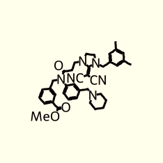 COC(=O)c1cccc(CN(C(=O)CCN2CCN(Cc3cc(C)cc(C)c3)C2=C(C#N)C#N)c2cccc(CN3CCCCC3)c2)c1